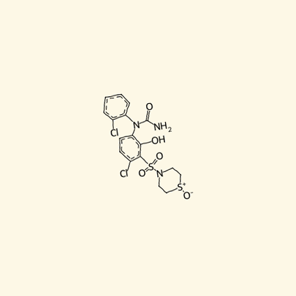 NC(=O)N(c1ccccc1Cl)c1ccc(Cl)c(S(=O)(=O)N2CC[S+]([O-])CC2)c1O